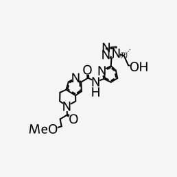 COCCC(=O)N1CCc2cnc(C(=O)Nc3cccc(-c4nncn4[C@H](C)CO)n3)cc2C1